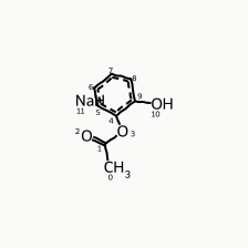 CC(=O)Oc1ccccc1O.[NaH]